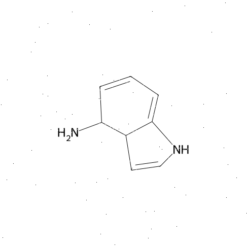 NC1C=CC=C2NC=CC21